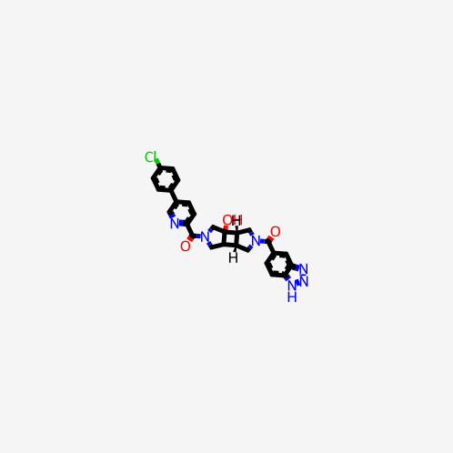 O=C(c1ccc2[nH]nnc2c1)N1C[C@@H]2C3CN(C(=O)c4ccc(-c5ccc(Cl)cc5)cn4)CC3(O)[C@@H]2C1